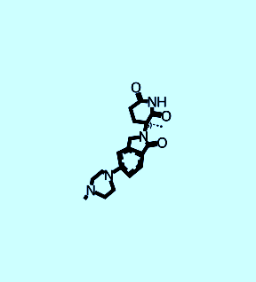 CN1CCN(c2ccc3c(c2)CN([C@@]2(C)CCC(=O)NC2=O)C3=O)CC1